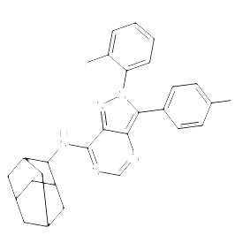 Clc1ccc(-c2c3ncnc(NC4C5CC6CC(C5)CC4C6)c3nn2-c2ccccc2Cl)cc1